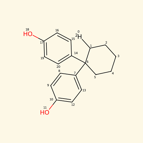 [2H]C1CCCCC1(c1ccc(O)cc1)c1ccc(O)cc1